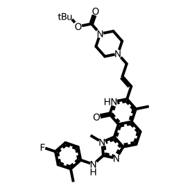 Cc1cc(F)ccc1Nc1nc2ccc3c(C)c(C=CCN4CCN(C(=O)OC(C)(C)C)CC4)[nH]c(=O)c3c2n1C